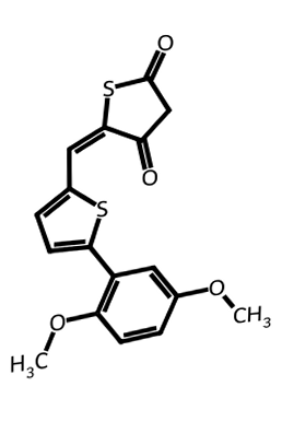 COc1ccc(OC)c(-c2ccc(C=C3SC(=O)CC3=O)s2)c1